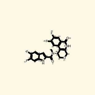 CN(C(=O)c1cc2cc(F)c(F)cc2[nH]1)[C@H]1COCc2[nH]c(=O)c3cc(F)c(F)cc3c21